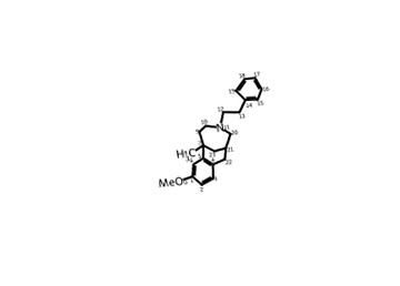 COc1ccc2c(c1)C1(C)CCN(CCc3ccccc3)CC(C2)C1